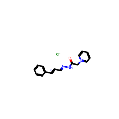 O=C(C[n+]1ccccc1)NN=C/C=C/c1ccccc1.[Cl-]